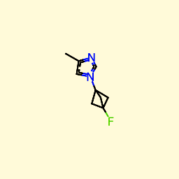 Cc1cn(C23CC(F)(C2)C3)cn1